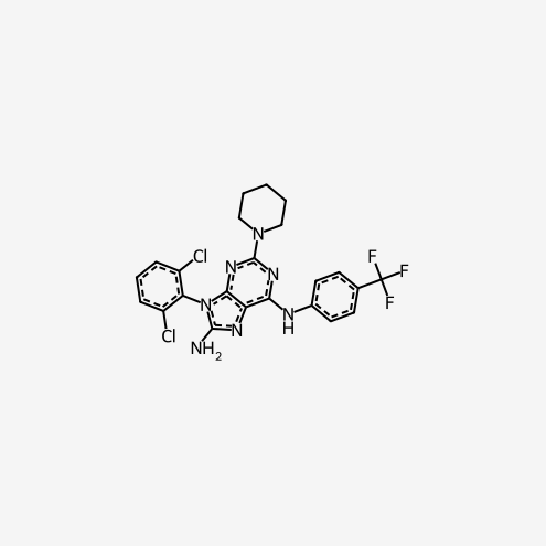 Nc1nc2c(Nc3ccc(C(F)(F)F)cc3)nc(N3CCCCC3)nc2n1-c1c(Cl)cccc1Cl